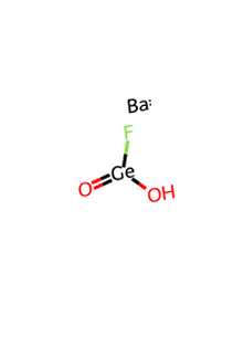 [Ba].[O]=[Ge]([OH])[F]